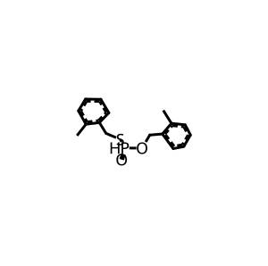 Cc1ccccc1CO[PH](=O)SCc1ccccc1C